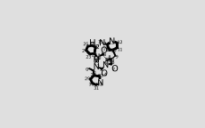 CC(NC(=O)N1C(=O)[C@H](Cc2ccnc(N)c2)[C@H]1C(=O)N(C)c1ccccc1)c1cccnc1